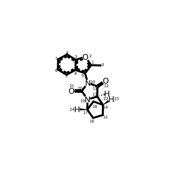 Cc1oc2ccccc2c1N1C(=O)[C@H]2[C@@H]3CC[C@@H](C3)N2C1=O